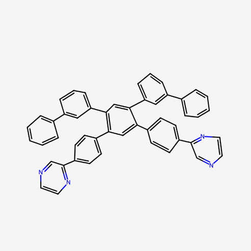 c1ccc(-c2cccc(-c3cc(-c4cccc(-c5ccccc5)c4)c(-c4ccc(-c5cnccn5)cc4)cc3-c3ccc(-c4cnccn4)cc3)c2)cc1